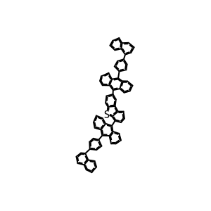 c1ccc2c(-c3ccc(-c4c5ccccc5c(-c5ccc6sc7c(-c8c9ccccc9c(-c9ccc(-c%10cccc%11ccccc%10%11)cc9)c9ccccc89)cccc7c6c5)c5ccccc45)cc3)cccc2c1